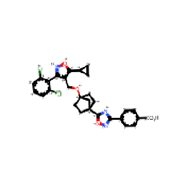 O=C(O)c1ccc(-c2noc(C34CCC(OCc5c(-c6c(Cl)cccc6Cl)noc5C5CC5)(CC3)C4)n2)cc1